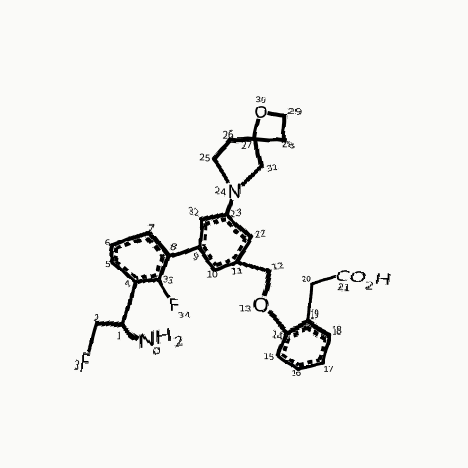 NC(CF)c1cccc(-c2cc(COc3ccccc3CC(=O)O)cc(N3CCC4(CCO4)C3)c2)c1F